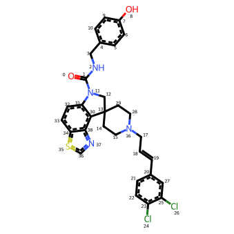 O=C(NCc1ccc(O)cc1)N1CC2(CCN(CC=Cc3ccc(Cl)c(Cl)c3)CC2)c2c1ccc1scnc21